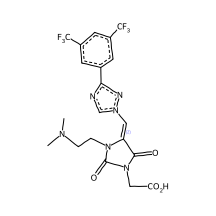 CN(C)CCN1C(=O)N(CC(=O)O)C(=O)/C1=C/n1cnc(-c2cc(C(F)(F)F)cc(C(F)(F)F)c2)n1